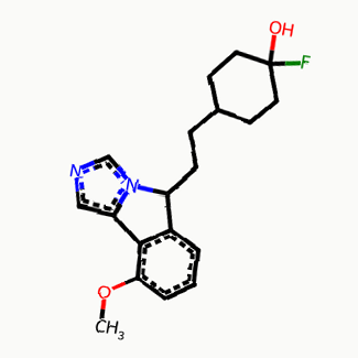 COc1cccc2c1-c1cncn1C2CCC1CCC(O)(F)CC1